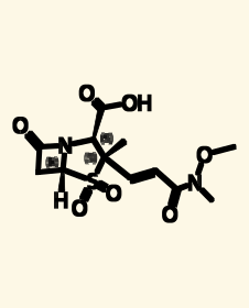 CON(C)C(=O)C=C[C@@]1(C)[C@H](C(=O)O)N2C(=O)C[C@H]2S1(=O)=O